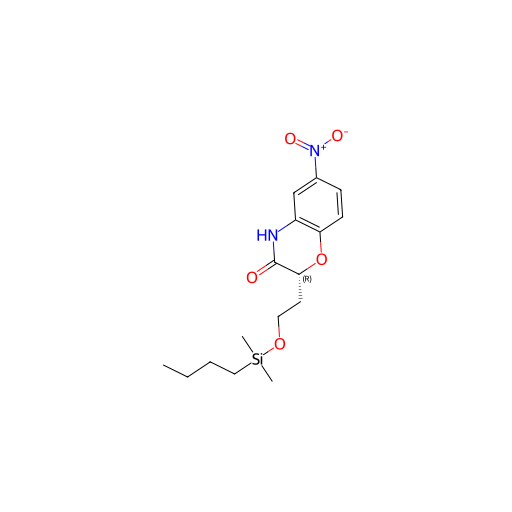 CCCC[Si](C)(C)OCC[C@H]1Oc2ccc([N+](=O)[O-])cc2NC1=O